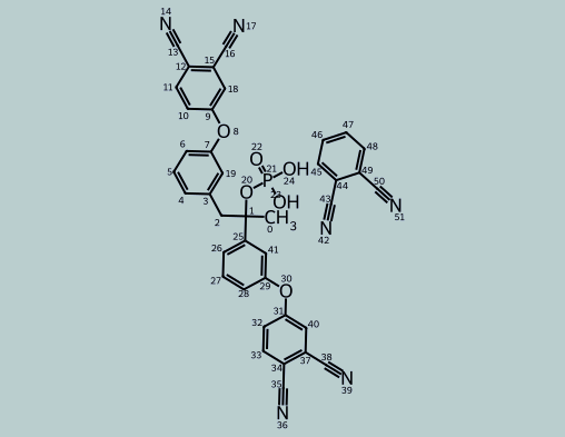 CC(Cc1cccc(Oc2ccc(C#N)c(C#N)c2)c1)(OP(=O)(O)O)c1cccc(Oc2ccc(C#N)c(C#N)c2)c1.N#Cc1ccccc1C#N